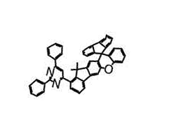 CC1(C)c2cc3c(cc2-c2cccc(-c4cc(-c5ccccc5)nc(-c5ccccc5)n4)c21)Oc1ccccc1C31c2ccccc2-c2ccccc21